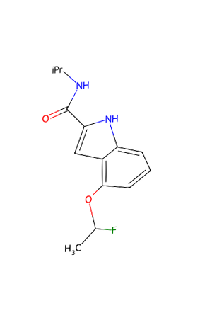 CC(C)NC(=O)c1cc2c(OC(C)F)cccc2[nH]1